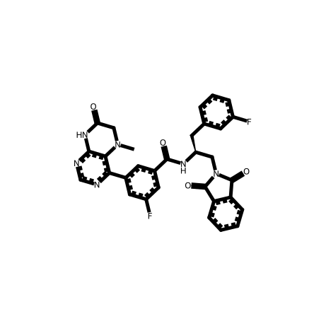 CN1CC(=O)Nc2ncnc(-c3cc(F)cc(C(=O)N[C@@H](Cc4cccc(F)c4)CN4C(=O)c5ccccc5C4=O)c3)c21